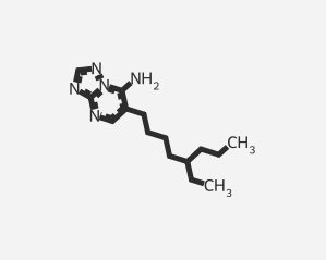 CCCC(CC)CCCCc1cnc2ncnn2c1N